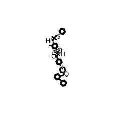 COC1(Cc2ccccc2-c2ccccc2)CCN(c2ccc(C(=O)NS(=O)(=O)c3ccc(NC(C)(C)CSc4ccccc4)c(C)c3)cc2)CC1